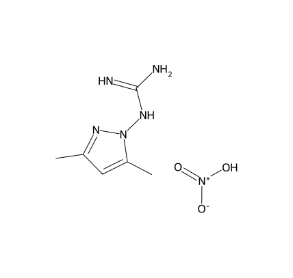 Cc1cc(C)n(NC(=N)N)n1.O=[N+]([O-])O